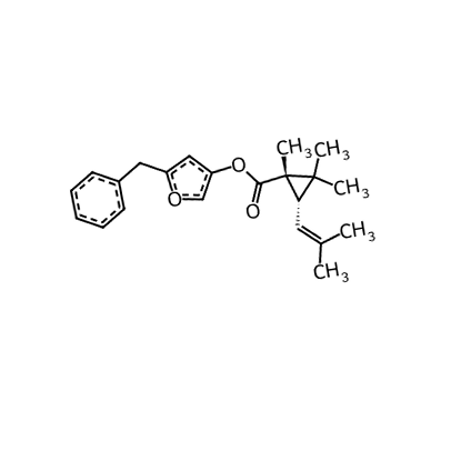 CC(C)=C[C@H]1C(C)(C)[C@@]1(C)C(=O)Oc1coc(Cc2ccccc2)c1